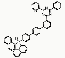 O=P(c1ccc(-c2ccc(-c3cccc(-c4nc(-c5ccccc5)nc(-c5ccccn5)n4)c3)cc2)cc1)(c1cccc2ccccc12)c1cccc2ccccc12